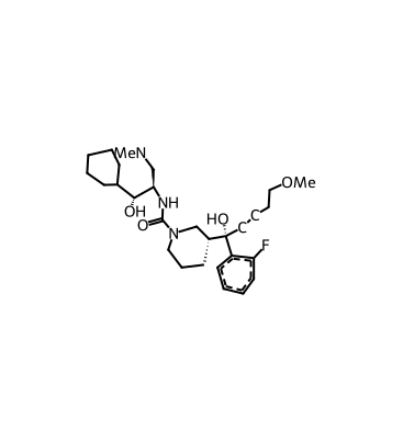 CNC[C@@H](NC(=O)N1CCC[C@@H]([C@@](O)(CCCCOC)c2ccccc2F)C1)[C@H](O)C1CCCCC1